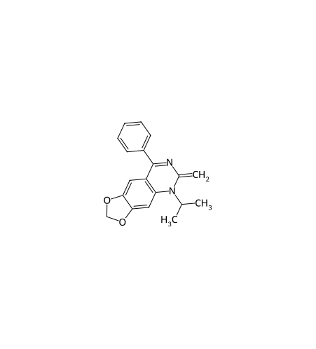 C=C1N=C(c2ccccc2)c2cc3c(cc2N1C(C)C)OCO3